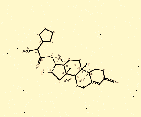 CC[C@H]1C[C@H]2[C@@H]3CCC4=CC(=O)CC[C@@H]4[C@H]3CC[C@]2(C)[C@H]1OC(=O)C(OC(C)=O)C1CCCC1